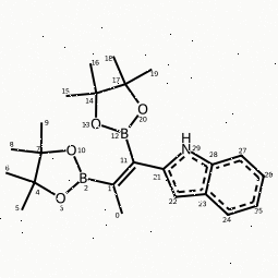 C/C(B1OC(C)(C)C(C)(C)O1)=C(/B1OC(C)(C)C(C)(C)O1)c1cc2ccccc2[nH]1